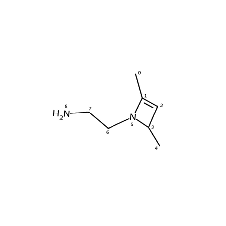 CC1=CC(C)N1CCN